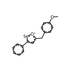 COc1ccc(Cc2cc(-c3ccccc3)[se][o+]2)cc1